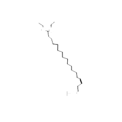 CCOC(CCCCCCCCCCCCC/C=C\CCO)OCC